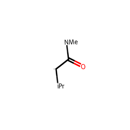 CNC(=O)[CH]C(C)C